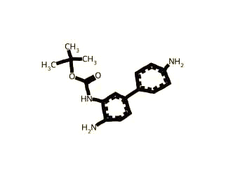 CC(C)(C)OC(=O)Nc1cc(-c2ccc(N)cc2)ccc1N